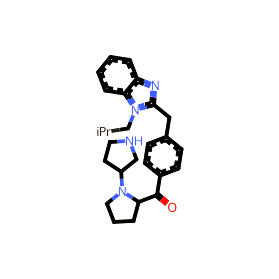 CC(C)Cn1c(Cc2ccc(C(=O)C3CCCN3C3CCNC3)cc2)nc2ccccc21